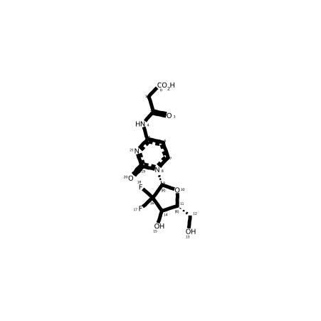 O=C(O)CC(=O)Nc1ccn([C@@H]2O[C@H](CO)C(O)C2(F)F)c(=O)n1